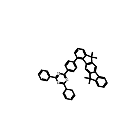 CC1(C)c2ccccc2-c2cc3c(cc21)-c1c(-c2ccc(-c4nc(-c5ccccc5)nc(C5C=CC=CC5)n4)cc2)cccc1C3(C)C